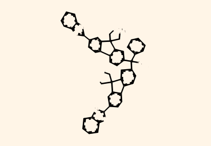 CCC1(CC)c2cc(-c3nc4ccccc4s3)ccc2-c2ccc(C(N)(c3ccccc3)c3ccc4c(c3)C(CC)(CC)c3cc(-c5nc6ccccc6s5)ccc3-4)cc21